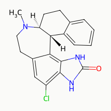 CN1CCc2cc(Cl)c3[nH]c(=O)[nH]c3c2[C@H]2c3ccccc3CC[C@@H]21